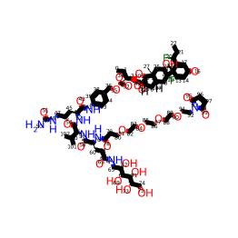 CCCC1O[C@@H]2C[C@H]3C[C@@](F)([C@@]4(C)C=CC(=O)C=C4[C@@H](F)CC)[C@@H](O)C[C@]3(C)[C@]2(C(=O)COC(=O)OCc2ccc(NC(=O)[C@H](CCCNC(N)=O)NC(=O)[C@@H](NC(=O)[C@@H](CCC(=O)NC[C@H](O)[C@@H](O)[C@H](O)[C@H](O)CO)NC(=O)CCOCCOCCOCCOCCN3C(=O)C=CC3=O)C(C)C)cc2)O1